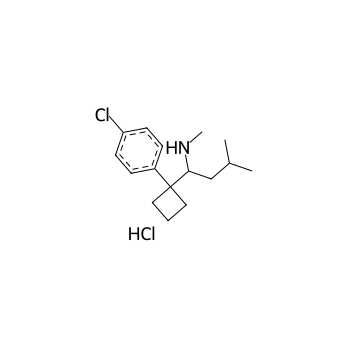 CNC(CC(C)C)C1(c2ccc(Cl)cc2)CCC1.Cl